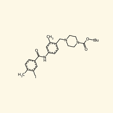 Cc1ccc(C(=O)Nc2ccc(CN3CCN(C(=O)OC(C)(C)C)CC3)c(C)c2)cc1I